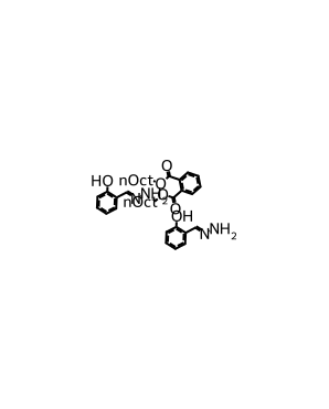 CCCCCCCCOC(=O)c1ccccc1C(=O)OCCCCCCCC.NN=Cc1ccccc1O.NN=Cc1ccccc1O